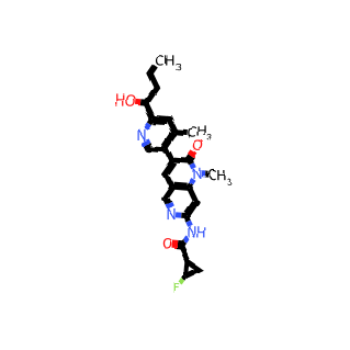 CCCC(O)c1cc(C)c(-c2cc3cnc(NC(=O)C4CC4F)cc3n(C)c2=O)cn1